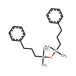 C[Si](C)(CCCc1ccccc1)O[Si](C)(C)CCCc1ccccc1